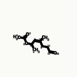 CC(=O)OC(C)C=C(C)CCC=O